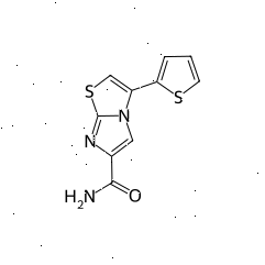 NC(=O)c1cn2c(-c3cccs3)csc2n1